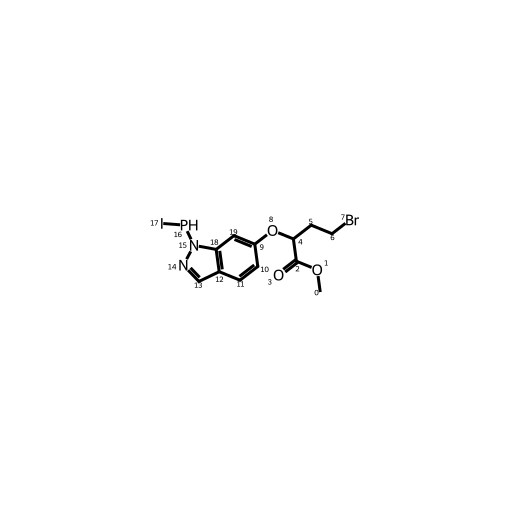 COC(=O)C(CCBr)Oc1ccc2cnn(PI)c2c1